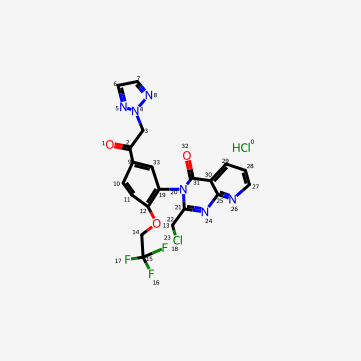 Cl.O=C(Cn1nccn1)c1ccc(OCC(F)(F)F)c(-n2c(CCl)nc3ncccc3c2=O)c1